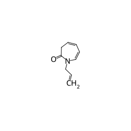 C=CCN1C=CC=CCC1=O